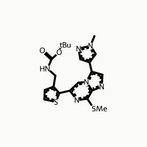 CSc1nc(-c2sccc2CNC(=O)OC(C)(C)C)cn2c(-c3cnn(C)c3)cnc12